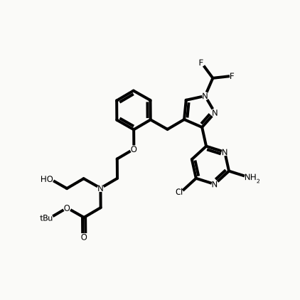 CC(C)(C)OC(=O)CN(CCO)CCOc1ccccc1Cc1cn(C(F)F)nc1-c1cc(Cl)nc(N)n1